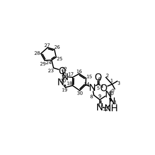 CC(C)(C)OC(=O)N(Cc1nn[nH]n1)c1ccc2c(cnn2OCc2ccccc2)c1